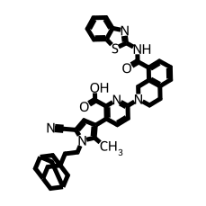 Cc1c(-c2ccc(N3CCc4cccc(C(=O)Nc5nc6ccccc6s5)c4C3)nc2C(=O)O)cc(C#N)n1CCC12CC3CC(CC(C3)C1)C2